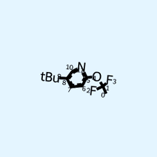 CC(F)(F)Oc1ccc(C(C)(C)C)cn1